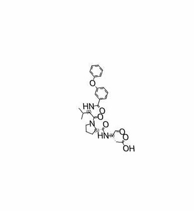 CC(C)[C@H](NC(=O)c1cccc(Oc2ccccc2)c1)C(=O)N1CCC[C@H]1C(=O)N[C@H](C=O)CC(=O)O